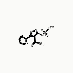 CCCCS(=O)(=O)Nc1onc(-c2ccccn2)c1C(N)=O